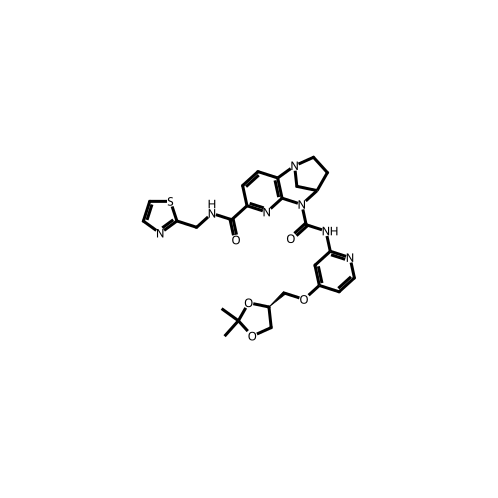 CC1(C)OC[C@H](COc2ccnc(NC(=O)N3c4nc(C(=O)NCc5nccs5)ccc4N4CCC3C4)c2)O1